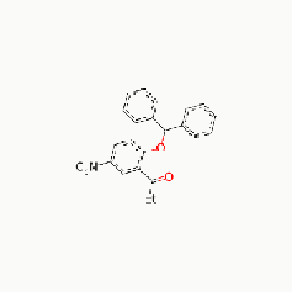 CCC(=O)c1cc([N+](=O)[O-])ccc1OC(c1ccccc1)c1ccccc1